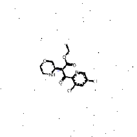 CCOC(=O)/C(C(=O)c1ncc(Cl)cc1Cl)=C1\COCCN1